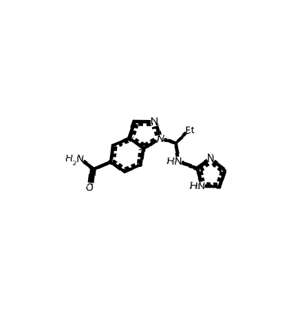 CCC(Nc1ncc[nH]1)n1ncc2cc(C(N)=O)ccc21